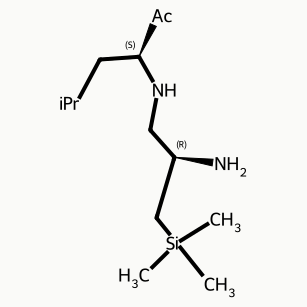 CC(=O)[C@H](CC(C)C)NC[C@@H](N)C[Si](C)(C)C